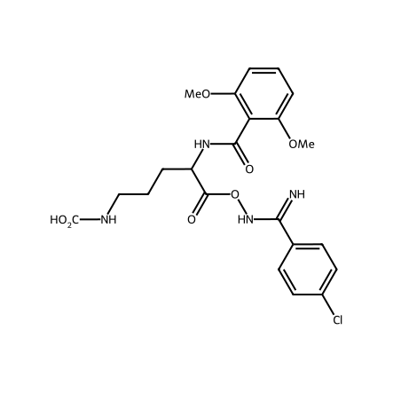 COc1cccc(OC)c1C(=O)NC(CCCNC(=O)O)C(=O)ONC(=N)c1ccc(Cl)cc1